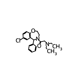 CCN(CC)CC(=O)N1CCOc2ccc(Cl)cc2C1c1ccccc1